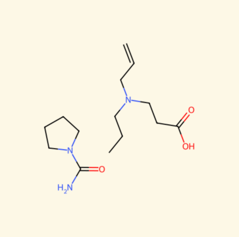 C=CCN(CCC)CCC(=O)O.NC(=O)N1CCCC1